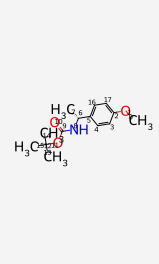 COc1ccc([C@@H](C)NC(=O)OC(C)(C)C)cc1